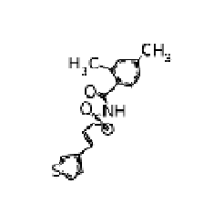 Cc1ccc(C(=O)NS(=O)(=O)/C=C/c2ccsc2)c(C)c1